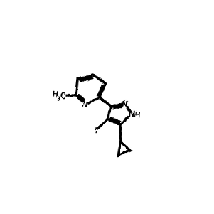 Cc1cccc(-c2n[nH]c(C3CC3)c2I)n1